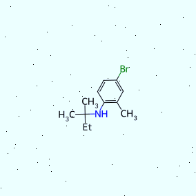 CCC(C)(C)Nc1ccc(Br)cc1C